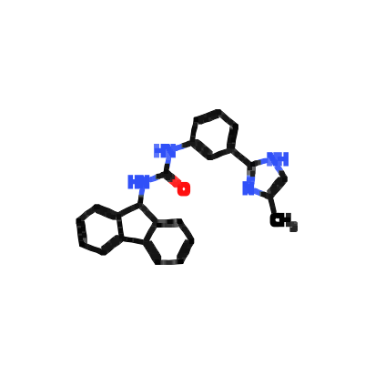 Cc1c[nH]c(-c2cccc(NC(=O)NC3c4ccccc4-c4ccccc43)c2)n1